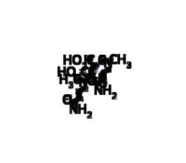 CN(C)CC=CC(N)=O.CN(C)CC=CC(N)=O.O=C(O)/C=C\C(=O)O